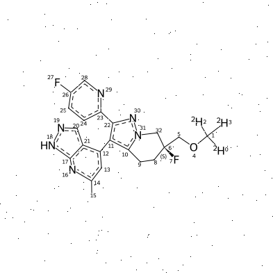 [2H]C([2H])([2H])OC[C@]1(F)CCc2c(-c3cc(C)nc4[nH]ncc34)c(-c3ccc(F)cn3)nn2C1